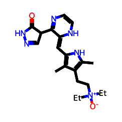 CC[N+]([O-])(CC)CCc1c(C)[nH]c(C=C2NC=CN=C2C2C=NNC2=O)c1C